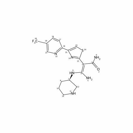 NC(=O)/C(=C(\N)N[C@@H]1CCCNC1)c1nc(-c2ccc(C(F)(F)F)cn2)cs1